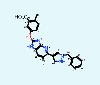 Cc1ccc(Oc2nc3nc(C4=CN(Cc5ccccc5)NC4)c(Cl)cc3[nH]2)cc1C(=O)O